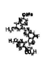 COc1cnc2c(-c3nc4cc(F)c5c(c4s3)C[C@@H](CN(C(=O)O)c3cnc(C)nc3)O5)cc(C)cc2n1